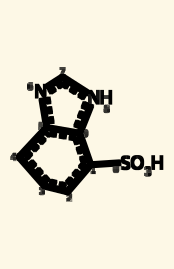 O=S(=O)(O)c1cccc2nc[nH]c12